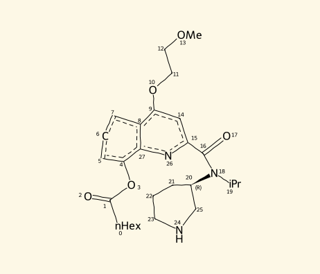 CCCCCCC(=O)Oc1cccc2c(OCCOC)cc(C(=O)N(C(C)C)[C@@H]3CCCNC3)nc12